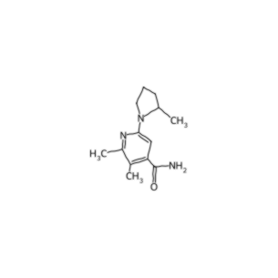 Cc1nc(N2CCCC2C)cc(C(N)=O)c1C